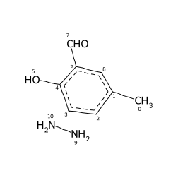 Cc1ccc(O)c(C=O)c1.NN